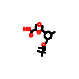 CC1=CC(CO[Si](C)(C)C(C)(C)C)CC(C2=COC=C(C(=O)O)O2)=C1